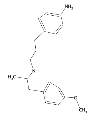 COc1ccc(CC(C)NCCCc2ccc(N)cc2)cc1